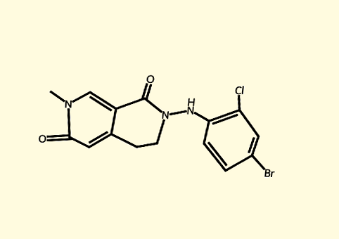 Cn1cc2c(cc1=O)CCN(Nc1ccc(Br)cc1Cl)C2=O